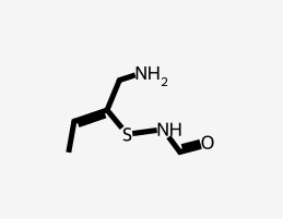 C/C=C(/CN)SNC=O